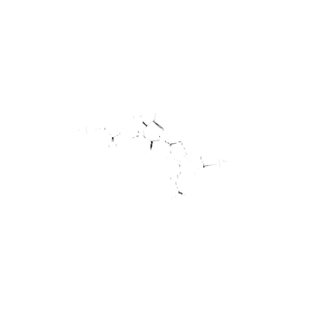 CCCCCCC(=O)OCn1c(=O)c(F)cn([C@H]2C[C@H](OC(=O)C(C)C)[C@@H](COC(=O)C(C)C)O2)c1=O